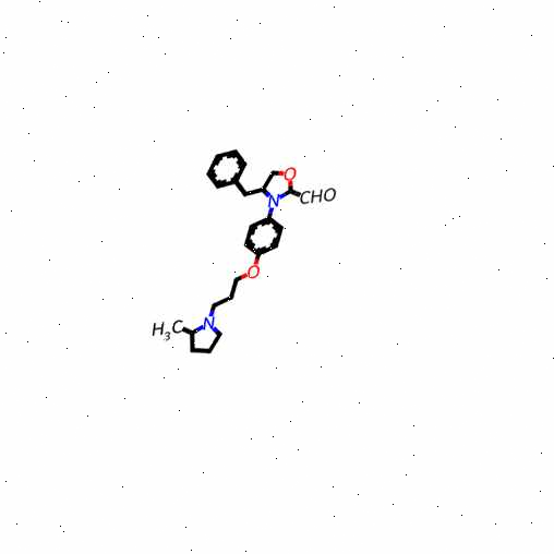 CC1CCCN1CCCOc1ccc(N2C(Cc3ccccc3)COC2C=O)cc1